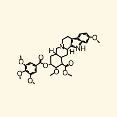 COC(=O)C1C2C[C@@H]3c4[nH]c5cc(OC)ccc5c4CCN3C[C@H]2C[C@@H](OC(=O)c2cc(OC)c(OC)c(OC)c2)[C@@H]1OC